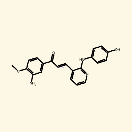 COc1ccc(C(=O)/C=C/c2cccnc2Nc2ccc(O)cc2)cc1N